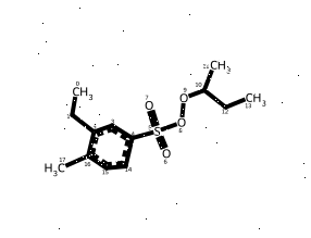 CCc1cc(S(=O)(=O)OOC(C)CC)ccc1C